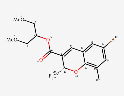 COCC(COC)OC(=O)C1=Cc2cc(Br)cc(C)c2O[C@@H]1C(F)(F)F